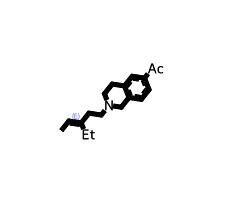 C/C=C(\CC)CCN1CCc2cc(C(C)=O)ccc2C1